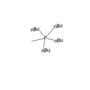 CCCCP(C)(CCCC)(CCCC)CCCC